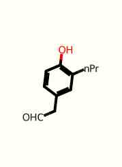 CCCc1cc(CC=O)ccc1O